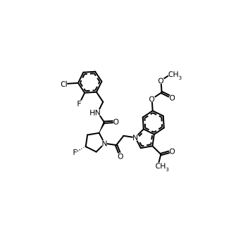 COC(=O)Oc1ccc2c(C(C)=O)cn(CC(=O)N3C[C@H](F)C[C@H]3C(=O)NCc3cccc(Cl)c3F)c2c1